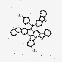 CC(C)(C)c1ccc(N2B3c4cc5oc6ccccc6c5cc4-n4c5ccc(C(C)(C)C)cc5c5c6sc7ccccc7c6c(c3c54)-c3cc4oc5ccccc5c4cc32)cc1